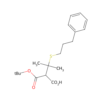 CC(C)(C)OC(=O)C(C(=O)O)C(C)(C)SCCCc1ccccc1